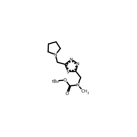 CN(Cc1nnc(CN2CCCC2)s1)C(=O)OC(C)(C)C